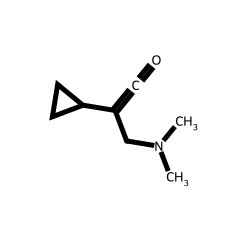 CN(C)CC(=C=O)C1CC1